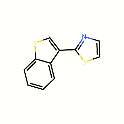 [c]1sc2ccccc2c1-c1nccs1